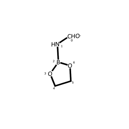 O=[C]NB1OCCO1